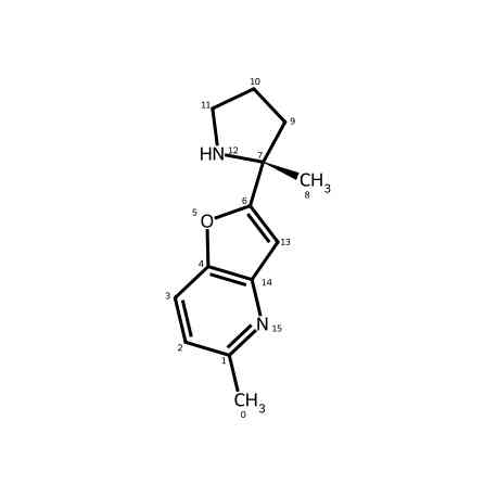 Cc1ccc2oc([C@@]3(C)CCCN3)cc2n1